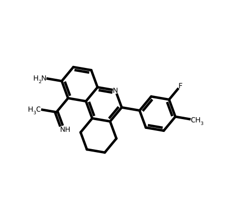 CC(=N)c1c(N)ccc2nc(-c3ccc(C)c(F)c3)c3c(c12)CCCC3